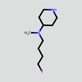 CN(CCCCI)C1CCNCC1